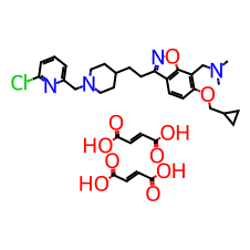 CN(C)Cc1c(OCC2CC2)ccc2c(CCC3CCN(Cc4cccc(Cl)n4)CC3)noc12.O=C(O)C=CC(=O)O.O=C(O)C=CC(=O)O